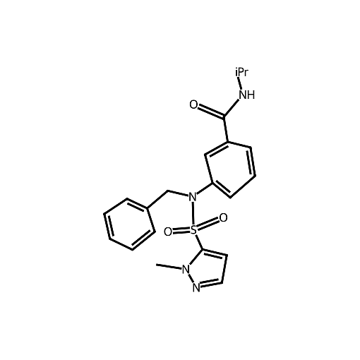 CC(C)NC(=O)c1cccc(N(Cc2ccccc2)S(=O)(=O)c2ccnn2C)c1